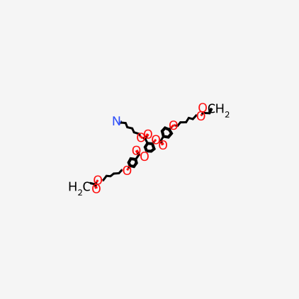 C=CC(=O)OCCCCCCOc1ccc(C(=O)Oc2ccc(OC(=O)c3ccc(OCCCCCCOC(=O)C=C)cc3)c(C(=O)OCCCCCC#N)c2)cc1